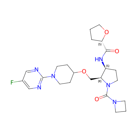 O=C(N[C@H]1CCN(C(=O)N2CCC2)[C@H]1COC1CCN(c2ncc(F)cn2)CC1)[C@@H]1CCCO1